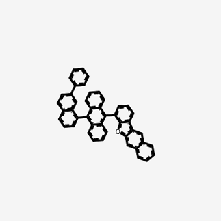 c1ccc(-c2ccc3cccc(-c4c5ccccc5c(-c5cccc6c5oc5cc7ccccc7cc56)c5ccccc45)c3c2)cc1